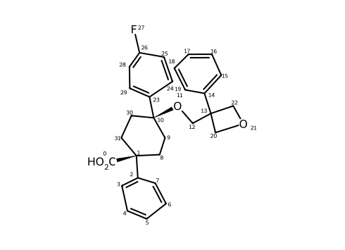 O=C(O)[C@]1(c2ccccc2)CC[C@@](OCC2(c3ccccc3)COC2)(c2ccc(F)cc2)CC1